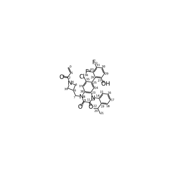 C=CC(=O)N1CC(Cn2c(=O)c(=O)n(-c3ccccc3C(C)C)c3cc(-c4c(O)ccc(F)c4F)c(Cl)cc32)C1